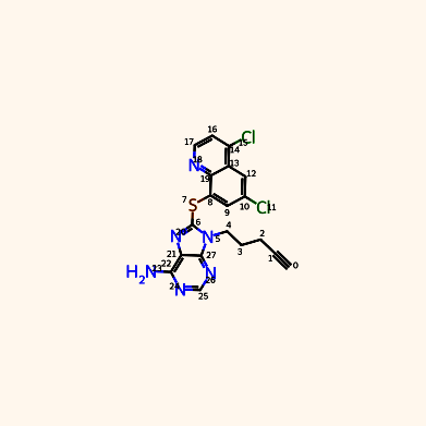 C#CCCCn1c(Sc2cc(Cl)cc3c(Cl)ccnc23)nc2c(N)ncnc21